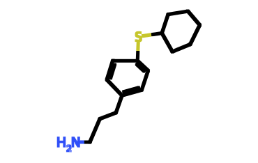 NCCCc1ccc(SC2CCCCC2)cc1